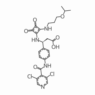 CC(C)OCCCNc1c(N[C@@H](CC(=O)O)c2ccc(NC(=O)c3c(Cl)cncc3Cl)cc2)c(=O)c1=O